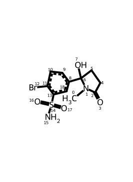 CN1C(=O)CCC1(O)c1ccc(Br)c(S(N)(=O)=O)c1